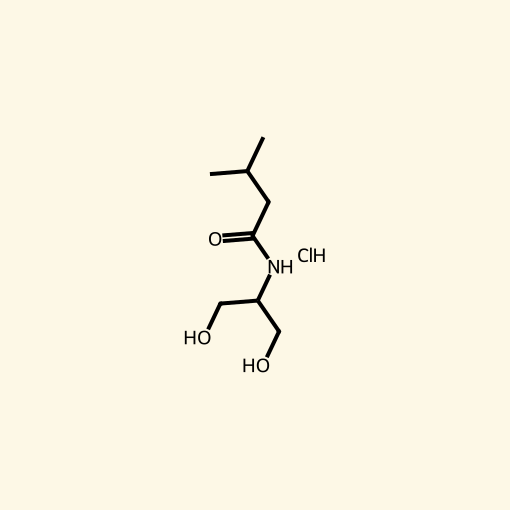 CC(C)CC(=O)NC(CO)CO.Cl